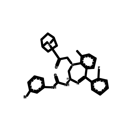 Cc1cccc2c1N(CC(=O)N1CC3CCC(CC3)C1)C[C@H](NC(=O)Nc1cccc(Br)c1)N=C2c1ccccc1F